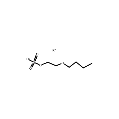 CCCCOCCOS(=O)(=O)[O-].[K+]